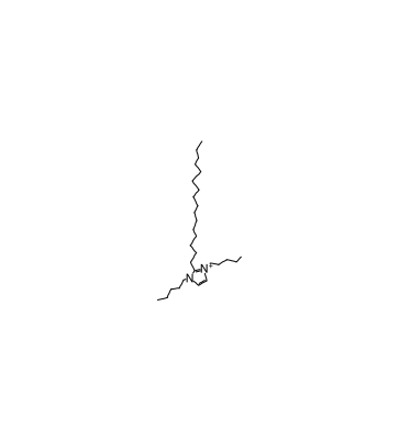 CCCCCCCCCCCCCCCCc1n(CCCCC)cc[n+]1CCCCC